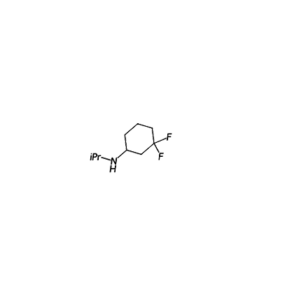 CC(C)NC1CCCC(F)(F)C1